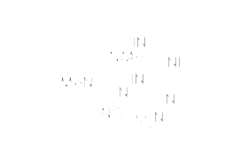 CNC(=N[N+](=O)[O-])NC.O=[N+]([O-])N=C1NCNCN1